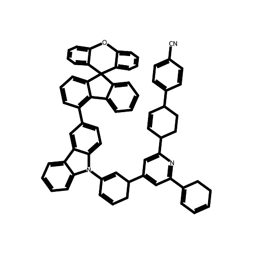 N#Cc1ccc(C2C=CC(c3cc(C4C=C(n5c6ccccc6c6cc(-c7cccc8c7-c7ccccc7C87c8ccccc8Oc8ccccc87)ccc65)C=CC4)cc(C4=CC=CCC4)n3)CC2)cc1